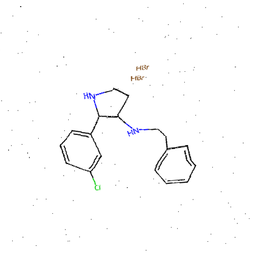 Br.Br.Clc1cccc(C2NCCC2NCc2ccccc2)c1